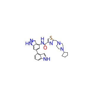 O=C(Nc1cc(-c2cccc3[nH]ccc23)cc2[nH]ncc12)c1csc(CN2CCN(C3CCCC3)CC2)n1